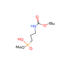 COP(=O)(O)CCCNC(=O)OC(C)(C)C